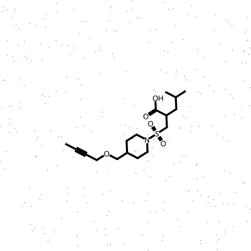 CC#CCOCC1CCN(S(=O)(=O)CC(CC(C)C)C(=O)O)CC1